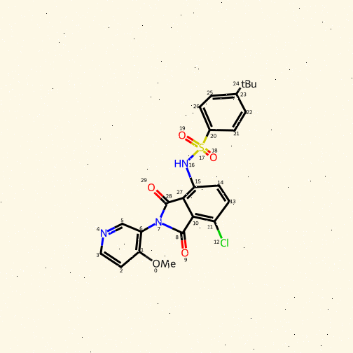 COc1ccncc1N1C(=O)c2c(Cl)ccc(NS(=O)(=O)c3ccc(C(C)(C)C)cc3)c2C1=O